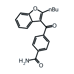 CCCCc1oc2ccccc2c1C(=O)c1ccc(C(N)=O)cc1